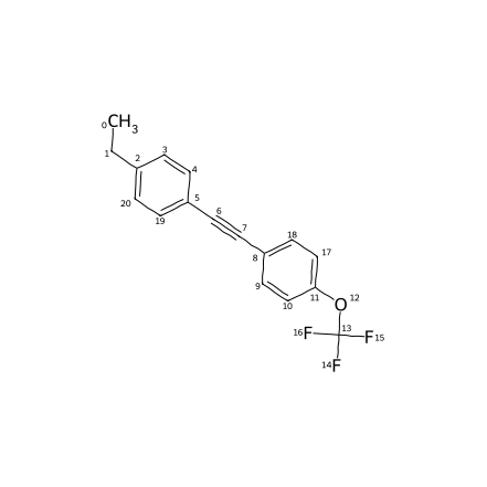 CCc1ccc(C#Cc2ccc(OC(F)(F)F)cc2)cc1